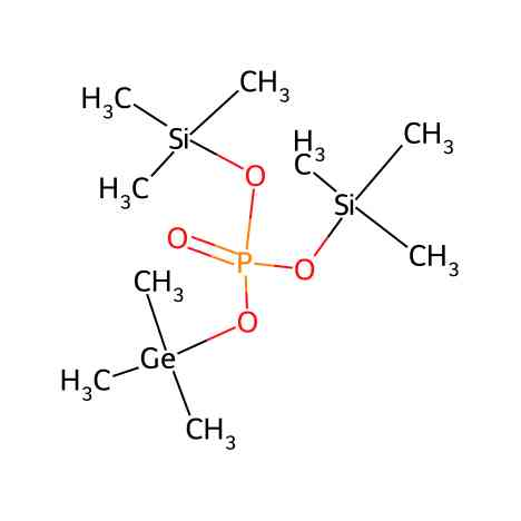 C[Si](C)(C)OP(=O)(O[Si](C)(C)C)[O][Ge]([CH3])([CH3])[CH3]